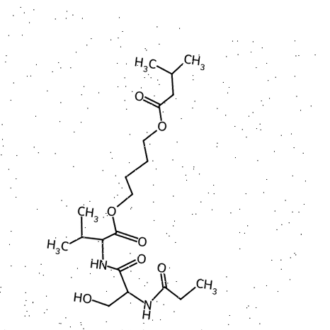 CCC(=O)NC(CO)C(=O)NC(C(=O)OCCCCOC(=O)CC(C)C)C(C)C